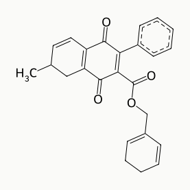 CC1C=CC2=C(C1)C(=O)C(C(=O)OCC1=CCCC=C1)=C(c1ccccc1)C2=O